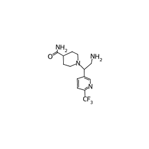 NCC(c1ccc(C(F)(F)F)nc1)N1CCC(C(N)=O)CC1